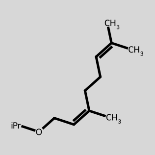 CC(C)=CCC/C(C)=C\COC(C)C